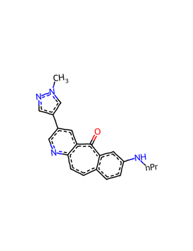 CCCNc1ccc2ccc3ncc(-c4cnn(C)c4)cc3c(=O)c2c1